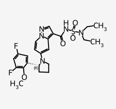 CCN(CC)S(=O)(=O)NC(=O)c1cnn2ccc(N3CCC[C@@H]3c3cc(F)cc(F)c3OC)cc12